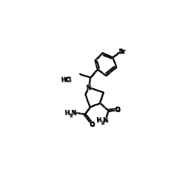 CC(c1ccc(Br)cc1)N1CC(C(N)=O)C(C(N)=O)C1.Cl